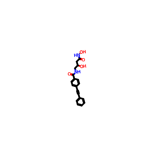 O=C(CC(O)CNC(=O)c1ccc(C#Cc2ccccc2)cc1)NO